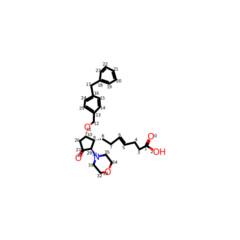 O=C(O)CCC=CCC[C@H]1[C@@H](OCc2ccc(Cc3ccccc3)cc2)CC(=O)[C@@H]1N1CCOCC1